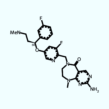 CNCC[C@H](Oc1cnc(CN2CCN(C)c3nc(N)ncc3C2=O)c(F)c1)c1cccc(F)c1